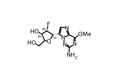 COc1nc(N)nn2c([C@@H]3OC(CO)[C@@H](O)[C@H]3F)cnc12